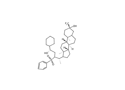 C[C@@H](C1CC[C@H]2[C@@H]3CCC4C[C@](O)(C(F)(F)F)CC[C@]4(C)[C@H]3CC[C@]12C)C(C[C@H](O)C1CCCCC1)S(=O)(=O)c1ccccc1